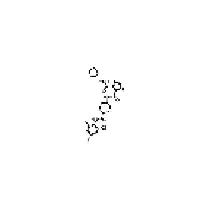 O=C(NC[C@@H]1CCCO1)c1nc[nH]c1C(=O)N[C@H]1CC[C@H](C(=O)Nc2c(F)cc(F)cc2Cl)CC1